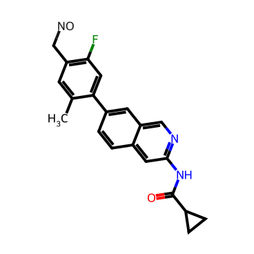 Cc1cc(CN=O)c(F)cc1-c1ccc2cc(NC(=O)C3CC3)ncc2c1